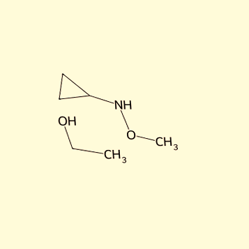 CCO.CONC1CC1